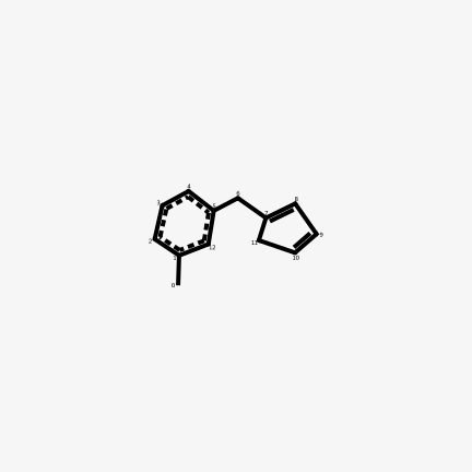 Cc1cccc(CC2=CC=CC2)c1